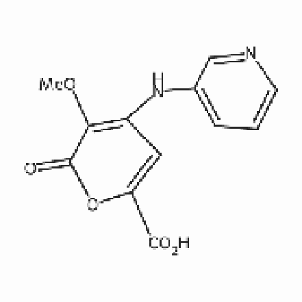 COc1c(Nc2cccnc2)cc(C(=O)O)oc1=O